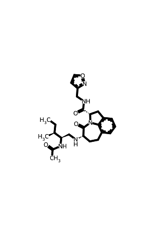 CC[C@H](C)[C@@H](CN[C@H]1CCc2cccc3c2N(C1=O)[C@H](C(=O)NCc1ccon1)C3)NC(C)=O